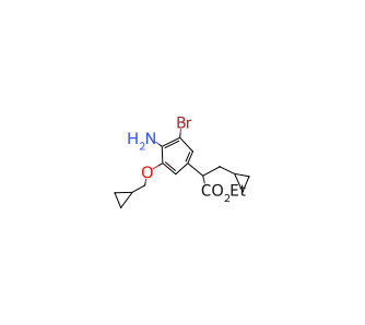 CCOC(=O)C(CC1CC1)c1cc(Br)c(N)c(OCC2CC2)c1